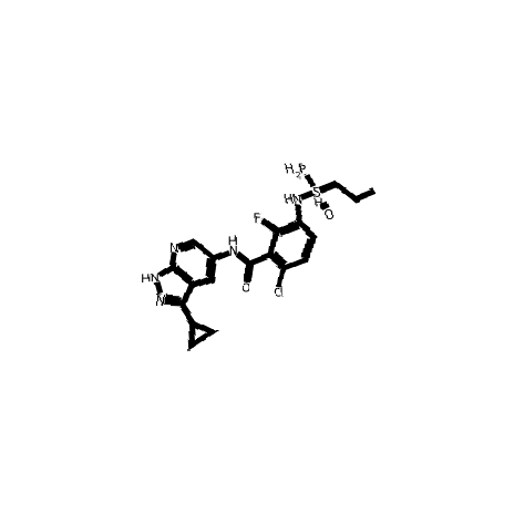 CCC[SH](=O)(P)Nc1ccc(Cl)c(C(=O)Nc2cnc3[nH]nc(C4CC4)c3c2)c1F